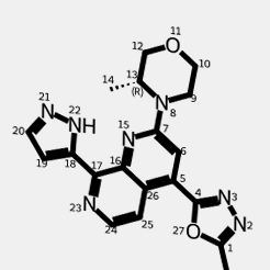 Cc1nnc(-c2cc(N3CCOC[C@H]3C)nc3c(-c4ccn[nH]4)nccc23)o1